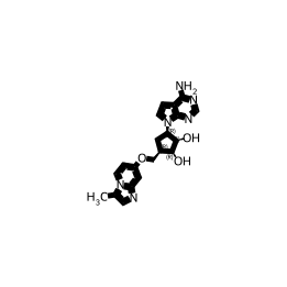 Cc1cnc2cc(OC[C@H]3C[C@@H](n4ccc5c(N)ncnc54)[C@H](O)[C@@H]3O)ccn12